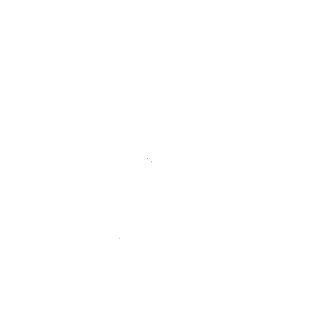 NC(Cc1ccc(NC(=O)OCC2c3ccccc3-c3ccccc32)cc1)C(=O)O